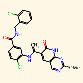 C=C(Nc1cc(C(=O)NCc2ccccc2Cl)ccc1Cl)c1cc2cnc(OC)nc2[nH]c1=O